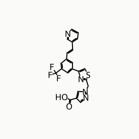 O=C(O)c1cnn(Cc2nc(-c3cc(C=Cc4cccnc4)cc(C(F)(F)F)c3)cs2)c1